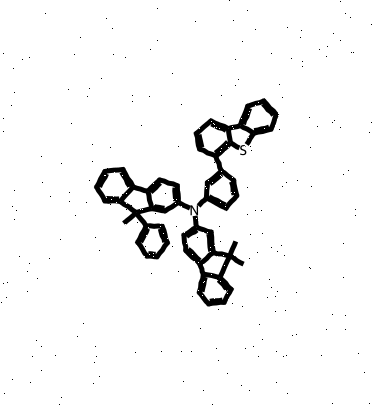 CC1(C)c2ccccc2-c2ccc(N(c3cccc(-c4cccc5c4sc4ccccc45)c3)c3ccc4c(c3)C(C)(c3ccccc3)c3ccccc3-4)cc21